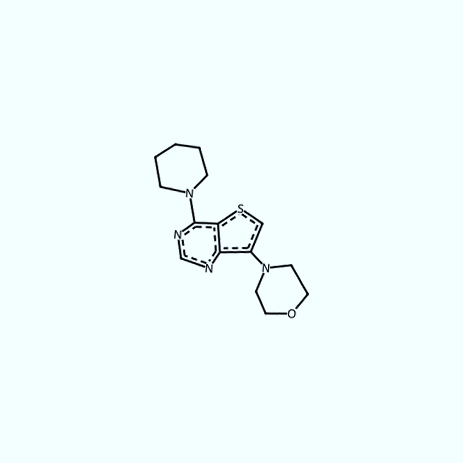 c1nc(N2CCCCC2)c2scc(N3CCOCC3)c2n1